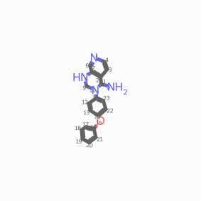 NC1c2ccncc2NCN1c1ccc(Oc2ccccc2)cc1